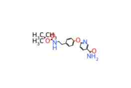 CC(C)(C)OC(=O)NCCc1ccc(Oc2ccc(C(N)=O)cn2)cc1